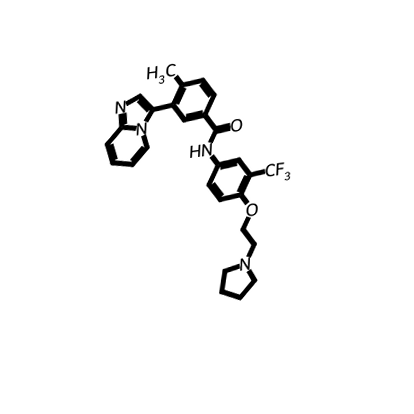 Cc1ccc(C(=O)Nc2ccc(OCCN3CCCC3)c(C(F)(F)F)c2)cc1-c1cnc2ccccn12